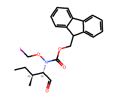 CC[C@H](C)[C@@H]([C]=O)N(OCI)C(=O)OCC1c2ccccc2-c2ccccc21